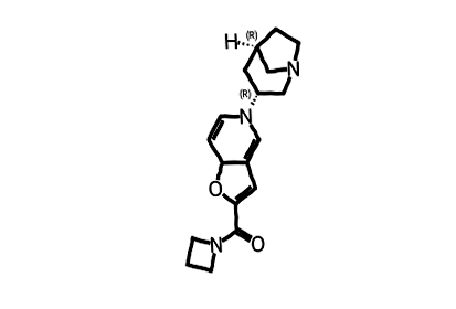 O=C(C1=CC2=CN([C@@H]3C[C@H]4CCN(C4)C3)C=CC2O1)N1CCC1